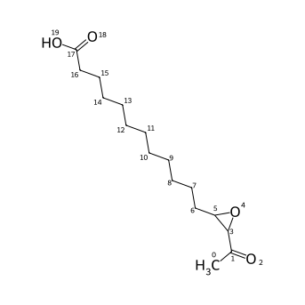 CC(=O)C1OC1CCCCCCCCCCCC(=O)O